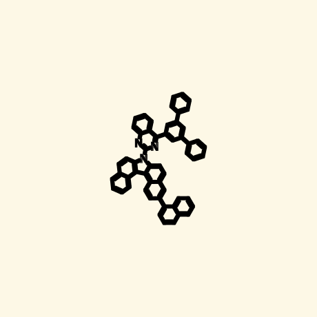 c1ccc(-c2cc(-c3ccccc3)cc(-c3nc(-n4c5ccc6ccccc6c5c5c6ccc(-c7cccc8ccccc78)cc6ccc54)nc4ccccc34)c2)cc1